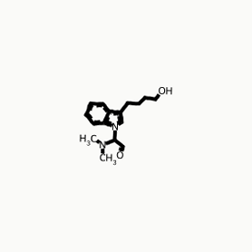 CN(C)C(C=O)n1cc(CCCCO)c2ccccc21